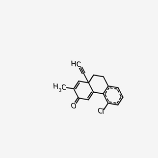 C#CC12C=C(C)C(=O)C=C1c1c(Cl)cccc1CC2